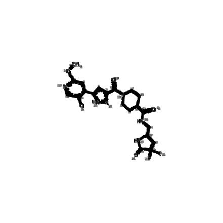 COc1cc(-c2cc(C(=O)N3CCC(C(=O)NCC4CC(F)(F)C(=O)N4)CC3)n[nH]2)c(Cl)cn1